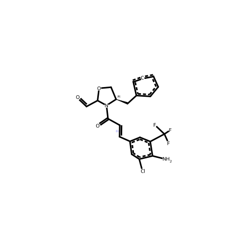 Nc1c(Cl)cc(/C=C/C(=O)N2C(C=O)OC[C@H]2Cc2ccccc2)cc1C(F)(F)F